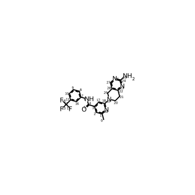 Cc1cc(C(=O)Nc2cccc(C(F)(F)F)c2)cc(N2CCc3nc(N)ncc3C2)n1